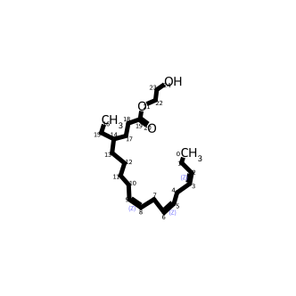 CC/C=C\C/C=C\C/C=C\CCCCC(CC)CCC(=O)OCCO